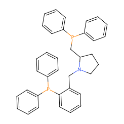 c1ccc(P(CC2CCCN2Cc2ccccc2P(c2ccccc2)c2ccccc2)c2ccccc2)cc1